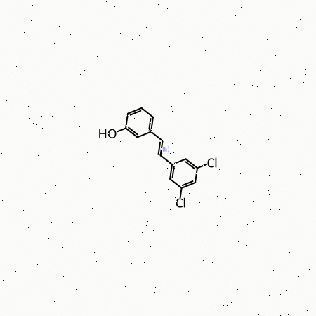 Oc1cccc(/C=C/c2cc(Cl)cc(Cl)c2)c1